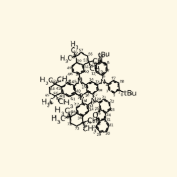 CC(C)(C)c1ccc(N(c2ccc(C(C)(C)C)cc2)c2cc3c4c(c2)N(c2cccc5c2oc2ccccc25)c2cc5c(cc2B4c2cc4c(cc2N3c2ccc3c(c2)C(C)(C)CCC3(C)C)C(C)(C)CCC4(C)C)C(C)(C)CCC5(C)C)cc1